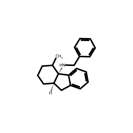 CC1CCC[C@@H]2Cc3ccccc3[C@]12NCc1ccccc1